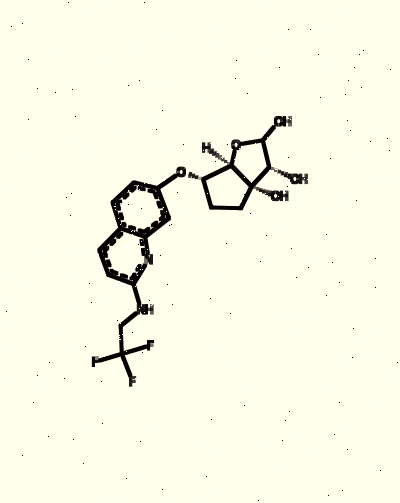 OC1O[C@@H]2[C@@H](Oc3ccc4ccc(NCC(F)(F)F)nc4c3)CC[C@]2(O)[C@H]1O